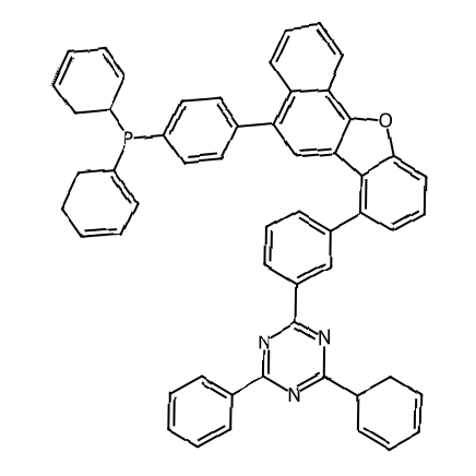 C1=CCCC(P(c2ccc(-c3cc4c(oc5cccc(-c6cccc(-c7nc(-c8ccccc8)nc(C8C=CC=CC8)n7)c6)c54)c4ccccc34)cc2)C2C=CC=CC2)=C1